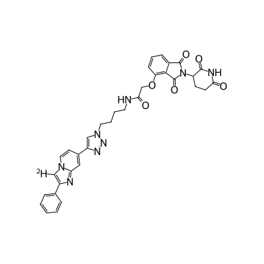 [2H]c1c(-c2ccccc2)nc2cc(-c3cn(CCCCNC(=O)COc4cccc5c4C(=O)N(C4CCC(=O)NC4=O)C5=O)nn3)ccn12